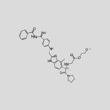 COCCOC(=O)CN[C@@](C)(C(=O)N1CCCC1)c1ccc2[nH]c(CNc3ccc(C(=N)NC(=O)c4ccccc4)cc3)nc2c1C